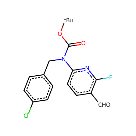 CC(C)(C)OC(=O)N(Cc1ccc(Cl)cc1)c1ccc(C=O)c(F)n1